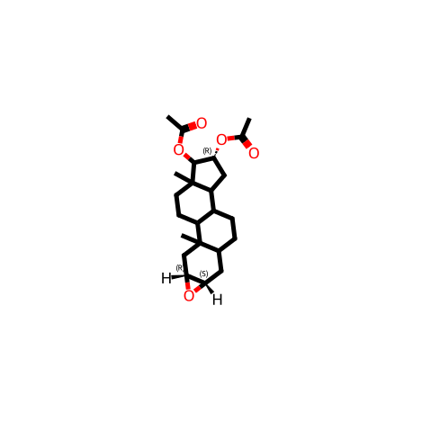 CC(=O)OC1[C@H](OC(C)=O)CC2C3CCC4C[C@@H]5O[C@@H]5CC4(C)C3CCC21C